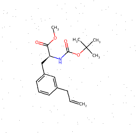 C=CCc1cccc(C[C@H](NC(=O)OC(C)(C)C)C(=O)OC)c1